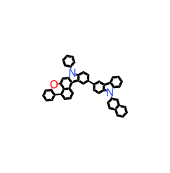 c1ccc(-n2c3ccc(-c4ccc5c(c4)c4ccccc4n5-c4ccc5ccccc5c4)cc3c3c4cccc5c4c(cc32)Oc2ccccc2-5)cc1